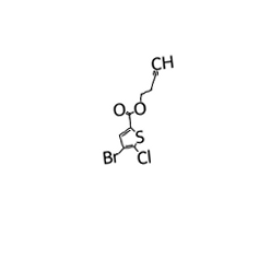 C#CCCOC(=O)c1cc(Br)c(Cl)s1